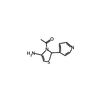 CC(=O)N1C(N)=CSC1c1ccncc1